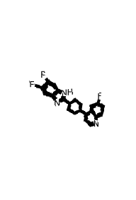 Fc1ccc2nccc(C3CCC(c4nc5cc(F)c(F)cc5[nH]4)CC3)c2c1